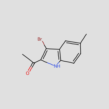 CC(=O)c1[nH]c2ccc(C)cc2c1Br